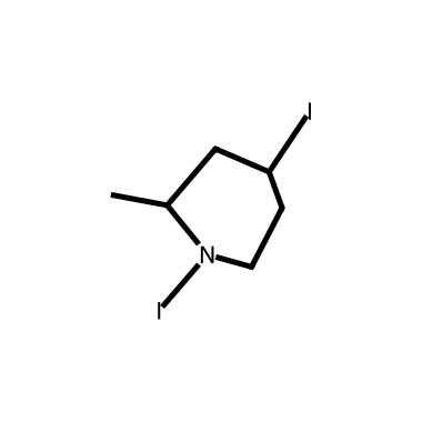 CC1CC(I)CCN1I